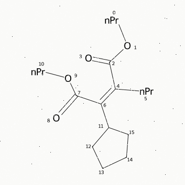 CCCOC(=O)/C(CCC)=C(\C(=O)OCCC)C1CCCC1